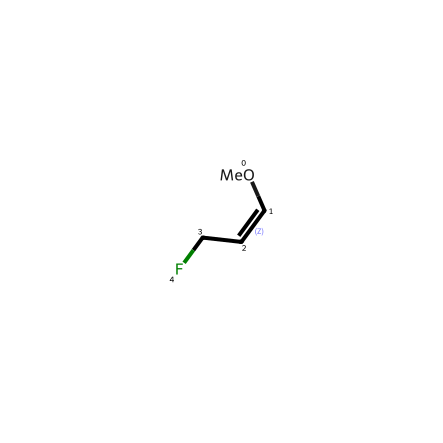 [CH2]O/C=C\CF